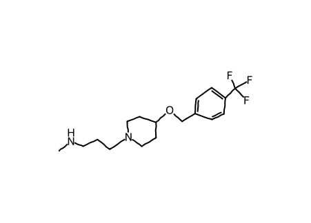 CNCCCN1CCC(OCc2ccc(C(F)(F)F)cc2)CC1